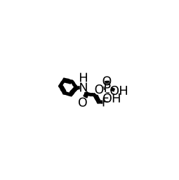 O=C(Nc1ccccc1)C(=CF)OP(=O)(O)O